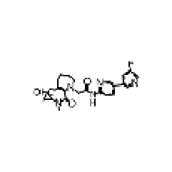 CN(C(=O)C1=C(C=O)CCCCN1CC(=O)Nc1ccc(-c2cncc(F)c2)cn1)C1CC1